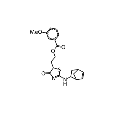 COc1cccc(C(=O)OCCC2SC(NC3CC4C=CC3C4)=NC2=O)c1